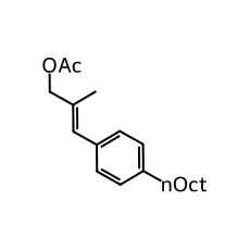 CCCCCCCCc1ccc(/C=C(\C)COC(C)=O)cc1